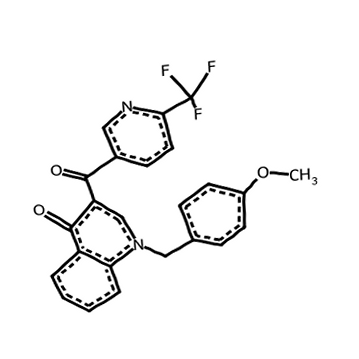 COc1ccc(Cn2cc(C(=O)c3ccc(C(F)(F)F)nc3)c(=O)c3ccccc32)cc1